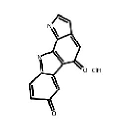 Cl.O=c1ccc2nc3c4nccc-4cc(=O)c=3c-2c1